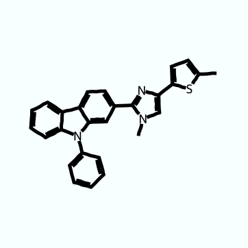 Cc1ccc(-c2cn(C)c(-c3ccc4c5ccccc5n(-c5ccccc5)c4c3)n2)s1